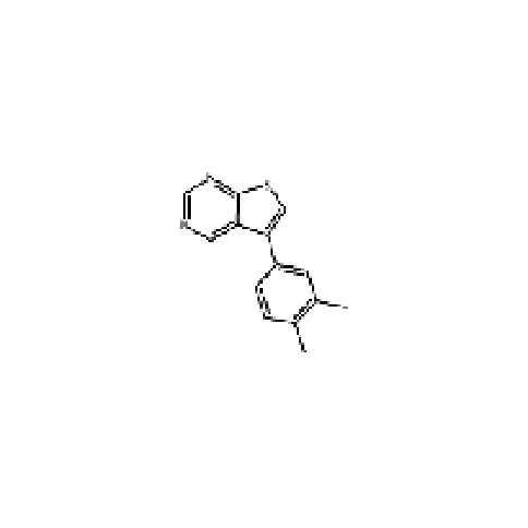 Cc1ccc(-c2csc3ncncc23)cc1C